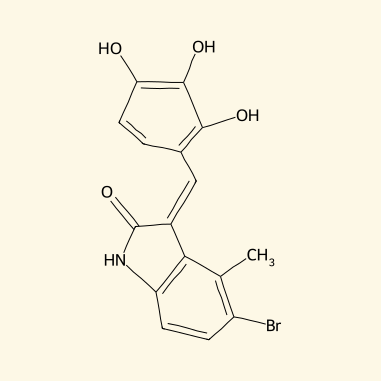 Cc1c(Br)ccc2c1C(=Cc1ccc(O)c(O)c1O)C(=O)N2